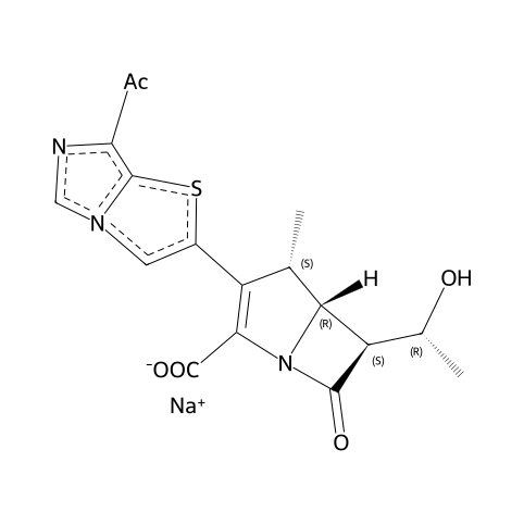 CC(=O)c1ncn2cc(C3=C(C(=O)[O-])N4C(=O)[C@H]([C@@H](C)O)[C@H]4[C@H]3C)sc12.[Na+]